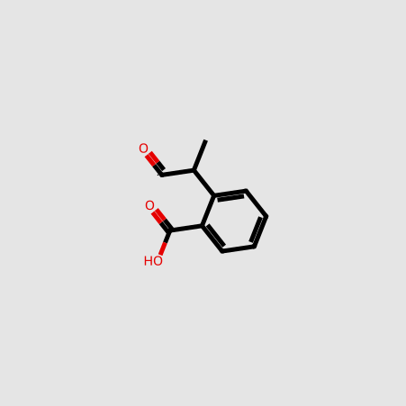 CC([C]=O)c1ccccc1C(=O)O